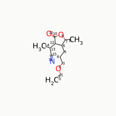 C=COCCCC1C(C)OC(=O)C1C(C)C#N